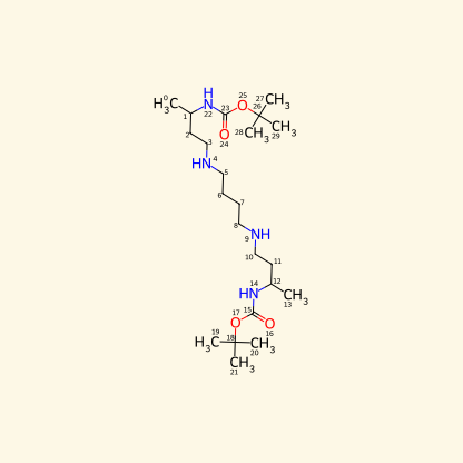 CC(CCNCCCCNCCC(C)NC(=O)OC(C)(C)C)NC(=O)OC(C)(C)C